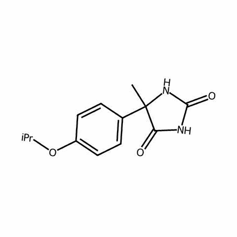 CC(C)Oc1ccc(C2(C)NC(=O)NC2=O)cc1